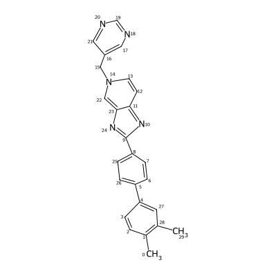 Cc1ccc(-c2ccc(-c3nc4ccn(Cc5cncnc5)cc-4n3)cc2)cc1C